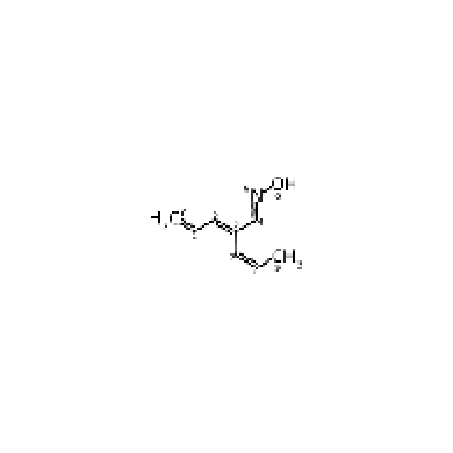 C=C/C=C(C=NO)\C=C/C